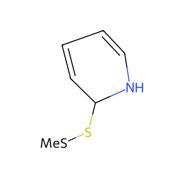 CSSC1C=CC=CN1